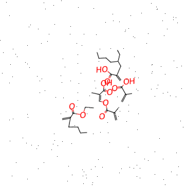 C=C(C)C(=O)O.C=C(C)C(=O)OC=C(C)C(=O)O.C=C(CC(CC)CCCC)C(=O)O.C=C(CCCC)C(=O)OCC